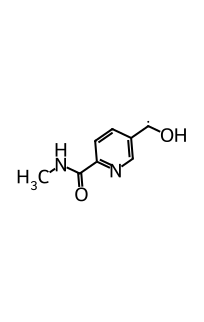 CNC(=O)c1ccc([CH]O)cn1